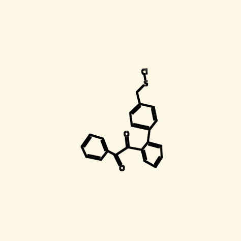 O=C(C(=O)c1ccccc1-c1ccc(CSCl)cc1)c1ccccc1